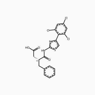 O=C(O)C[C@@H](Cc1ccccc1)C(=O)Nc1nc(-c2c(Cl)cc(Cl)cc2Cl)cs1